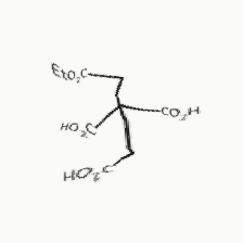 CCOC(=O)CC(CC(=O)O)(C(=O)O)C(=O)O